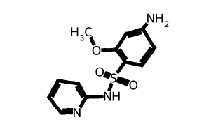 COc1cc(N)ccc1S(=O)(=O)Nc1ccccn1